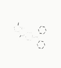 O=C1CCC(C(=O)N2CCN(C(c3ccccc3)c3ccccc3)CC2)N1